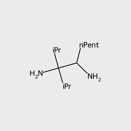 CCCCCC(N)C(N)(C(C)C)C(C)C